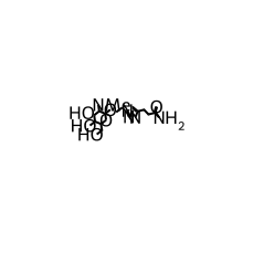 CNC1C(OCCn2cc(CCC(N)=O)nn2)OC(CO)C(O)C1O